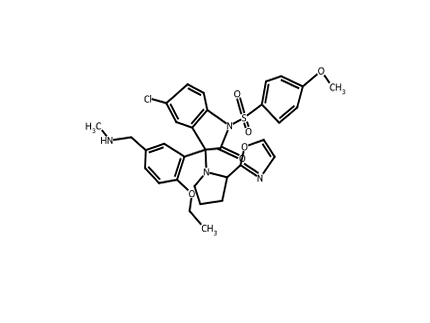 CCOc1ccc(CNC)cc1C1(N2CCCC2c2ncco2)C(=O)N(S(=O)(=O)c2ccc(OC)cc2)c2ccc(Cl)cc21